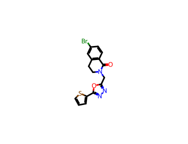 O=C1c2ccc(Br)cc2CCN1Cc1nnc(-c2cccs2)o1